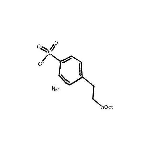 CCCCCCCCCCc1ccc(S(=O)(=O)[O-])cc1.[Na+]